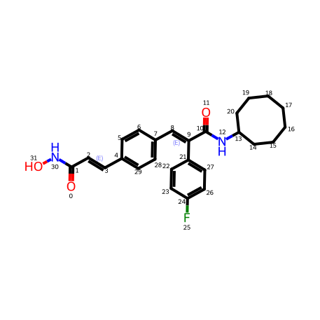 O=C(/C=C/c1ccc(/C=C(/C(=O)NC2CCCCCCC2)c2ccc(F)cc2)cc1)NO